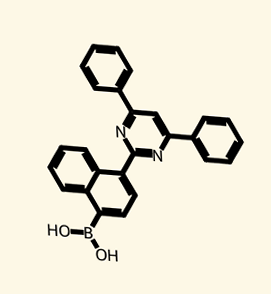 OB(O)c1ccc(-c2nc(-c3ccccc3)cc(-c3ccccc3)n2)c2ccccc12